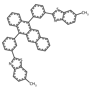 Cc1ccc2nc(-c3cccc(-c4c5ccccc5c(-c5cccc(-c6nc7ccc(C)cc7s6)c5)c5cc6ccccc6cc45)c3)sc2c1